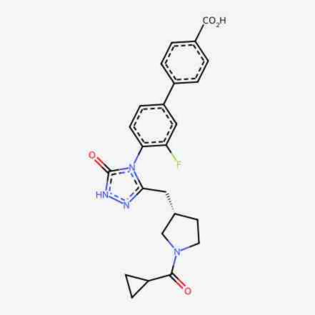 O=C(O)c1ccc(-c2ccc(-n3c(C[C@@H]4CCN(C(=O)C5CC5)C4)n[nH]c3=O)c(F)c2)cc1